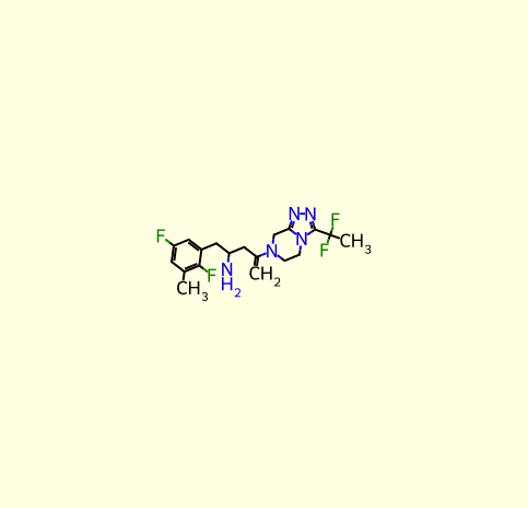 C=C(CC(N)Cc1cc(F)cc(C)c1F)N1CCn2c(nnc2C(C)(F)F)C1